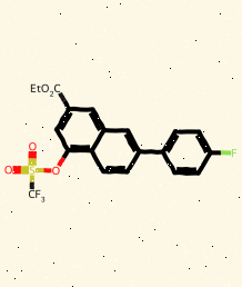 CCOC(=O)c1cc(OS(=O)(=O)C(F)(F)F)c2ccc(-c3ccc(F)cc3)cc2c1